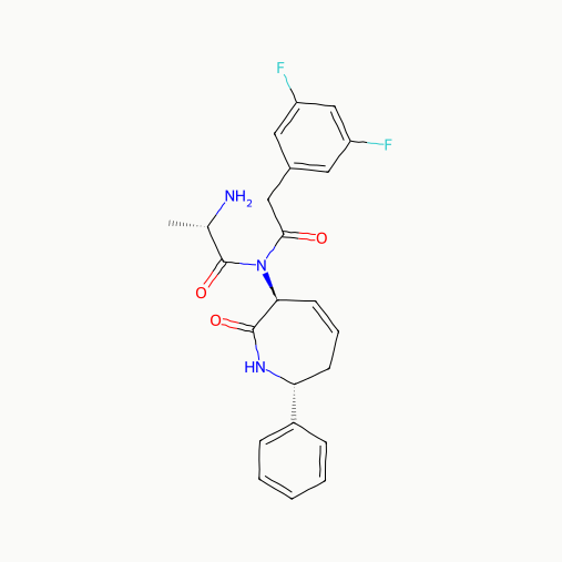 C[C@H](N)C(=O)N(C(=O)Cc1cc(F)cc(F)c1)[C@H]1C=CC[C@H](c2ccccc2)NC1=O